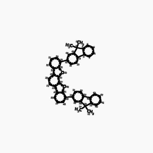 CC1(C)c2ccccc2-c2ccc(-c3cccc4c3oc3c4ccc4c5cccc(-c6ccc7c(c6)C(C)(C)c6ccccc6-7)c5oc43)cc21